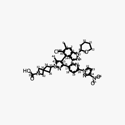 Cc1cc2c(cnn2C2CCCCO2)c(-c2c(-c3ccc(-n4ccc([N+](=O)[O-])n4)nc3)nn(C3CC4(C3)CN(C(=O)O)C4)c2C)c1Cl